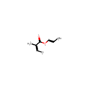 CCC=C(C)C(=O)OC=CCCCC